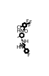 C[C@H]1CC(NC(=O)c2cc(C(F)(F)F)ccc2Cl)CC[C@@H]1CNc1cc(-c2ccc(F)cc2)[nH]n1